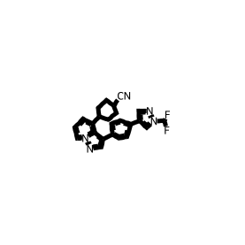 N#CC1CCC(c2cccn3ncc(-c4ccc(-c5cnn(C(F)F)c5)cc4)c23)CC1